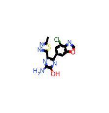 Cc1nnc(-c2nc(N)c(O)nc2-c2cc(Cl)c3ncoc3c2)s1